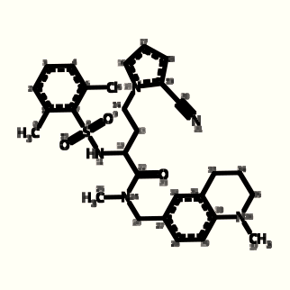 Cc1cccc(Cl)c1S(=O)(=O)NC(CCn1cccc1C#N)C(=O)N(C)Cc1ccc2c(c1)CCCN2C